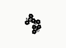 O=P(c1ccccc1)(c1ccccc1)c1cccc(-n2c3ccccc3c3cc4c5ccccc5c5nc6ccccc6n5c4cc32)c1